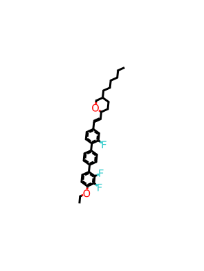 CCCCCCC1CCC(/C=C/c2ccc(-c3ccc(-c4ccc(OCC)c(F)c4F)cc3)c(F)c2)OC1